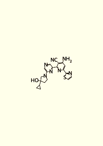 N#Cc1c(N)cc(-c2nccs2)nc1-c1cncc(N2CCC(O)(C3CC3)C2)n1